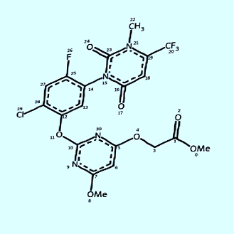 COC(=O)COc1cc(OC)nc(Oc2cc(-n3c(=O)cc(C(F)(F)F)n(C)c3=O)c(F)cc2Cl)n1